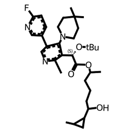 Cc1ncc(-c2ccc(F)nc2)c(N2CCC(C)(C)CC2)c1[C@H](OC(C)(C)C)C(=O)OC(C)CCCC(O)C1CC1C